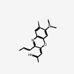 C/C=C/C1=Nc2cc(C)c(N(C)C)cc2O/C1=C/C(C)=N